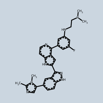 Cc1ncc(-c2ccc3[nH]nc(-c4cc5c(-c6cc(F)cc(NCCN(C)C)c6)nccc5[nH]4)c3c2)n1C